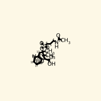 CC(=O)NCCCS(=O)(=O)OC(C)(Cc1ccccc1)C(C)(C)[C@@H](O)C(=O)O